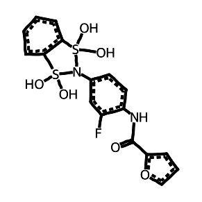 O=C(Nc1ccc(N2S(O)(O)c3ccccc3S2(O)O)cc1F)c1ccco1